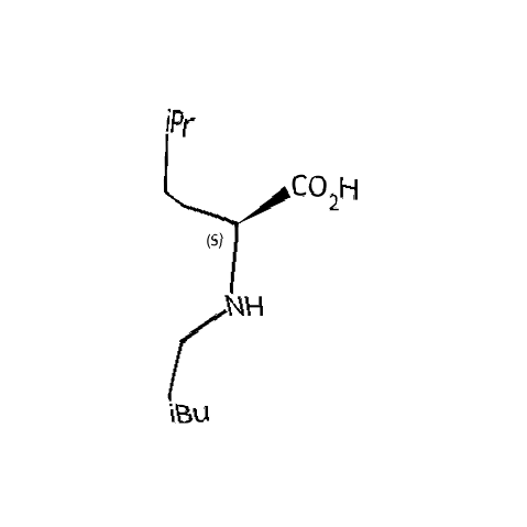 CCC(C)CN[C@@H](CC(C)C)C(=O)O